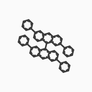 c1ccc(-c2ccc3c(-c4c5ccc(-c6ccccc6)cc5cc5ccc(-c6ccccc6)cc45)c4cc(-c5ccccc5)ccc4cc3c2)cc1